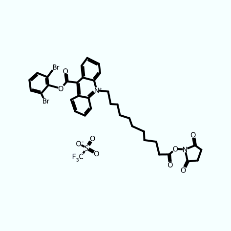 O=C(CCCCCCCCCC[n+]1c2ccccc2c(C(=O)Oc2c(Br)cccc2Br)c2ccccc21)ON1C(=O)CCC1=O.O=S(=O)([O-])C(F)(F)F